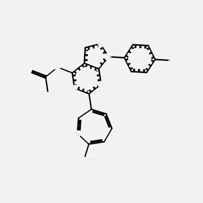 C=C(C)Nc1nc(C2=C=CC=C(CCCCCC)N=C2)nc2c1cnn2-c1ccc(F)cc1